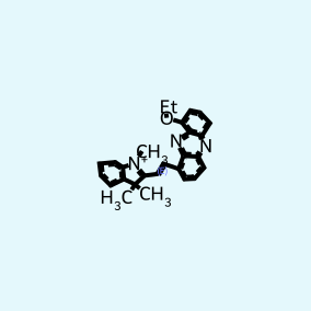 CCOc1cccc2nc3cccc(/C=C/C4=[N+](C)c5ccccc5C4(C)C)c3nc12